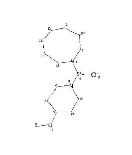 COC1CCN([S+]([O-])N2CCCCCCC2)CC1